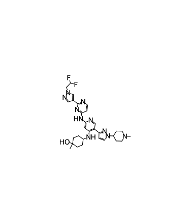 CN1CCC(n2ccc(-c3cnc(Nc4ccnc(-c5cnn(CC(F)F)c5)n4)cc3NC3CCC(C)(O)CC3)n2)CC1